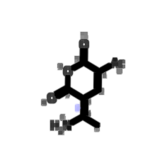 CC(=O)C1=C/C(=C(\C)N)C(=O)OC1=O